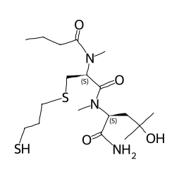 CCCC(=O)N(C)[C@H](CSCCCS)C(=O)N(C)[C@@H](CC(C)(C)O)C(N)=O